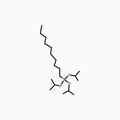 CCCCCCCCC[CH2][Ti]([O]C(C)C)([O]C(C)C)[O]C(C)C